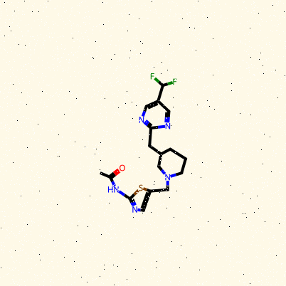 CC(=O)Nc1ncc(CN2CCCC(Cc3ncc(C(F)F)cn3)C2)s1